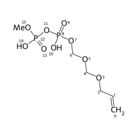 C=CCOCOCOP(=O)(O)OP(=O)(O)OC